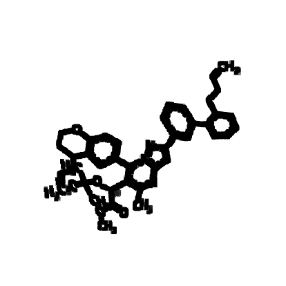 C=CCCc1ccccc1-c1cccc(-c2cc3nc(C)c([C@H](OC(C)(C)C)C(=O)OC)c(-c4ccc5c(c4)C(CC=C)CCO5)n3n2)c1